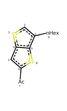 CCCCCCc1csc2cc(C(C)=O)sc12